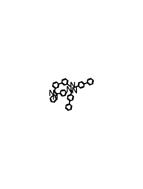 c1ccc(-c2ccc(-c3nc(-c4ccc(-c5ccccc5)cc4)nc(-c4cccc(-c5cccc(-c6nc7ccccn7c6-c6ccccc6)c5)c4)n3)cc2)cc1